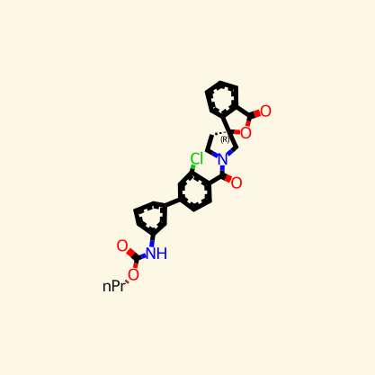 CCCOC(=O)Nc1cccc(-c2ccc(C(=O)N3CC[C@@]4(C3)OC(=O)c3ccccc34)c(Cl)c2)c1